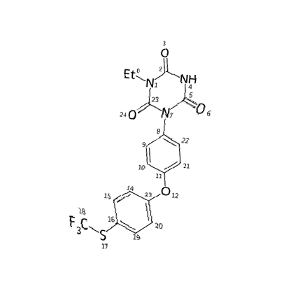 CCn1c(=O)[nH]c(=O)n(-c2ccc(Oc3ccc(SC(F)(F)F)cc3)cc2)c1=O